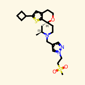 C[C@H]1C[C@@]2(CCN1Cc1cnn(CCS(C)(=O)=O)c1)OCCc1cc(C3CCC3)sc12